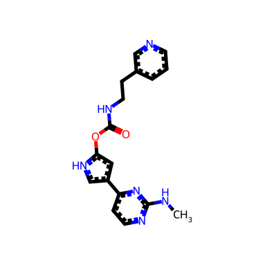 CNc1nccc(-c2c[nH]c(OC(=O)NCCc3cccnc3)c2)n1